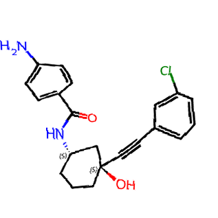 Nc1ccc(C(=O)N[C@H]2CCC[C@@](O)(C#Cc3cccc(Cl)c3)C2)cc1